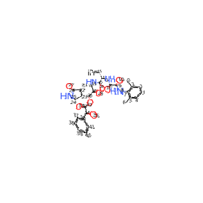 Cc1cccc(C)c1NC(=O)C(=O)N[C@@H](CC(C)C)C(=O)N[C@@H](C[C@@H]1CCNC1=O)C(=O)COC(=O)C(=O)c1ccccc1